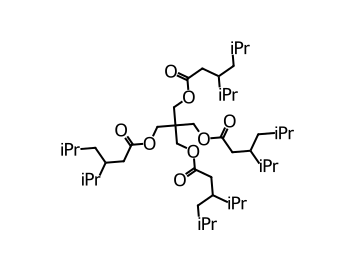 CC(C)CC(CC(=O)OCC(COC(=O)CC(CC(C)C)C(C)C)(COC(=O)CC(CC(C)C)C(C)C)COC(=O)CC(CC(C)C)C(C)C)C(C)C